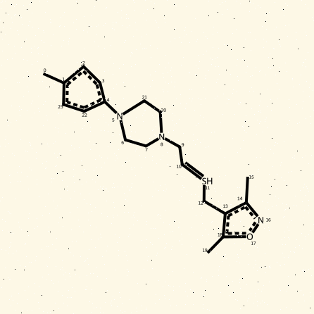 Cc1ccc(N2CCN(CC=[SH]Cc3c(C)noc3C)CC2)cc1